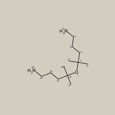 CC(C)(CCCN)OC(C)(C)CCCN